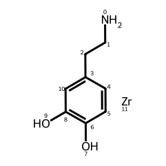 NCCc1ccc(O)c(O)c1.[Zr]